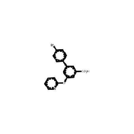 CCc1ccc(-c2cc(Oc3ccccn3)cc(C(=O)O)c2)cc1